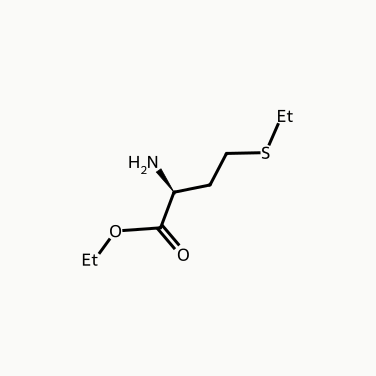 CCOC(=O)[C@@H](N)CCSCC